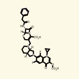 O=C(Cc1ccccc1)N[C@@H]1C(=O)N2C(C(=O)O)=C(CN3CCC[C@H]4CN(c5c(F)cc6c(=O)c(OC(=O)O)cn(C7CC7)c6c5F)C[C@H]43)CS[C@H]12